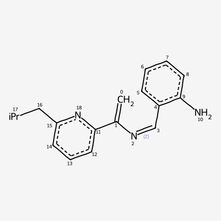 C=C(/N=C\c1ccccc1N)c1cccc(CC(C)C)n1